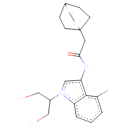 O=C(CC12CCC(CC1)CC2)Nc1cn(C(CO)CO)c2cccc(Cl)c12